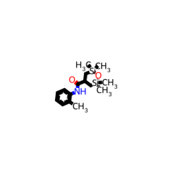 Cc1ccccc1NC(=O)C1C[Si](C)(C)O[Si](C)(C)C1